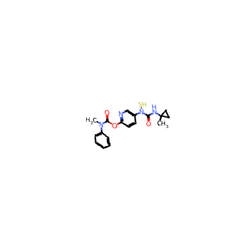 CN(C(=O)Oc1ccc(N(S)C(=O)NC2(C)CC2)cn1)c1ccccc1